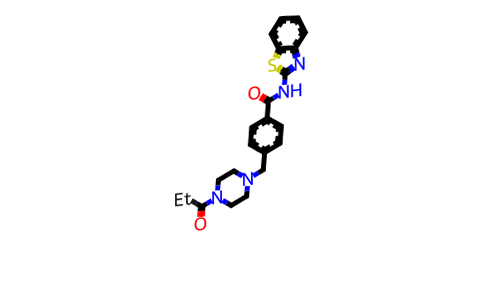 CCC(=O)N1CCN(Cc2ccc(C(=O)Nc3nc4ccccc4s3)cc2)CC1